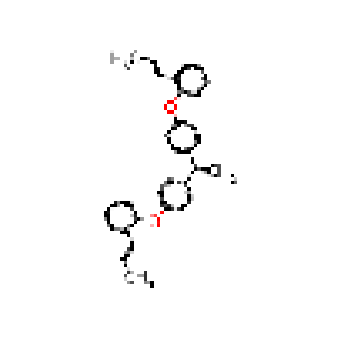 C=C(c1ccc(Oc2ccccc2C=CC)cc1)c1ccc(Oc2ccccc2C=CC)cc1